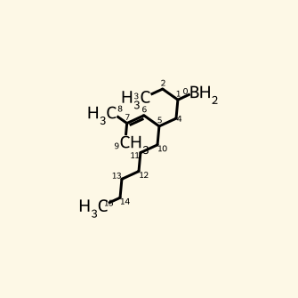 BC(CC)CC(C=C(C)C)CCCCCC